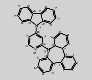 C1=CC2c3ccccc3-c3ccccc3N(c3cc(-n4c5ccccc5c5ccccc54)ccn3)C2C=C1